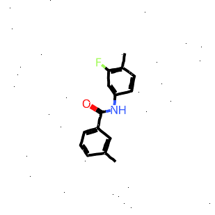 Cc1cccc(C(=O)Nc2ccc(C)c(F)c2)c1